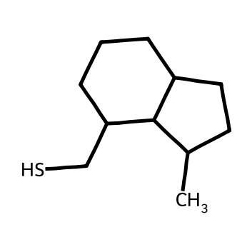 CC1CCC2CCCC(CS)C12